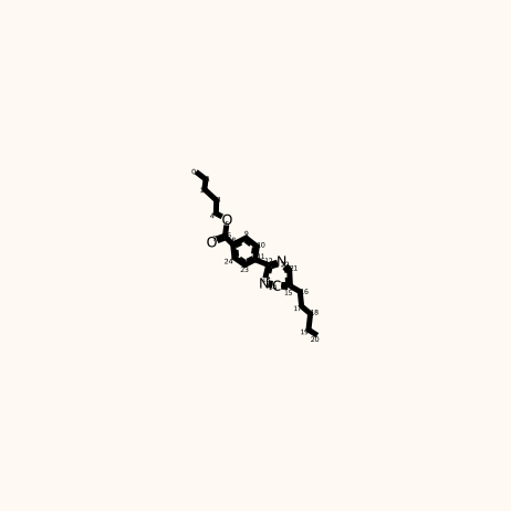 CCCCCOC(=O)c1ccc(-c2ncc(CCCCC)cn2)cc1